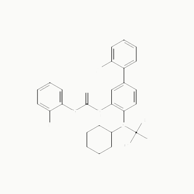 BC(B)(C(C)C)N(c1ccc(-c2ccccc2C(=O)O)cc1NC(=O)Nc1ccccc1F)C1CCCCC1